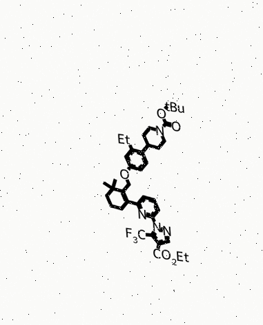 CCOC(=O)c1cnn(-c2cccc(C3=C(COc4ccc(C5CCN(C(=O)OC(C)(C)C)CC5)c(CC)c4)C(C)(C)CCC3)n2)c1C(F)(F)F